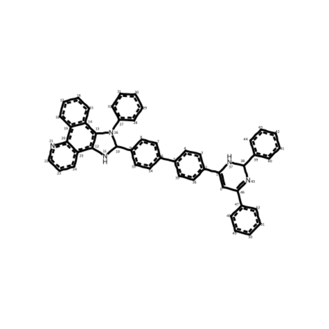 C1=C(c2ccc(-c3ccc(C4Nc5c(c6ccccc6c6ncccc56)N4c4ccccc4)cc3)cc2)NC(c2ccccc2)N=C1c1ccccc1